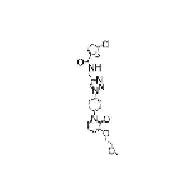 COCCOc1cccn(-c2ccc(-n3cc(CNC(=O)C4=CCC(Cl)S4)nn3)cc2)c1=O